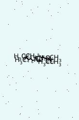 CC(C)(C)CCCN1CCN(CCOC(C)(C)C)CC1